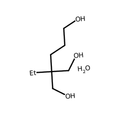 CCC(CO)(CO)CCCO.O